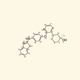 C[C@]1(O)CCCC(c2cccnc2Oc2ccc(Nc3nc4ccccc4s3)cc2)C1